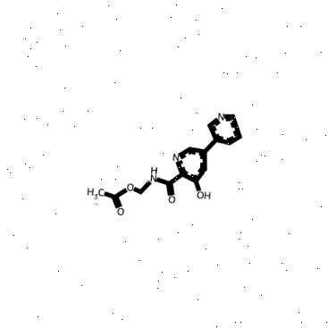 CC(=O)OCNC(=O)c1ncc(-c2cccnc2)cc1O